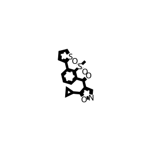 CS(=O)(=O)c1c(C(=O)c2cnoc2C2CC2)cccc1-c1cccs1